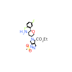 CCOC(=O)[C@@H]1c2cnn(S(C)(=O)=O)c2CN1[C@H]1CO[C@H](c2cc(F)ccc2F)[C@@H](N)C1